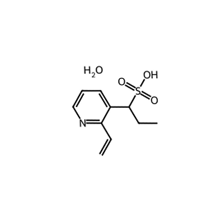 C=Cc1ncccc1C(CC)S(=O)(=O)O.O